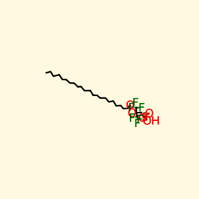 CCCCCCCCCCCCCCCCCCCCCC(=O)OC(CS(=O)(=O)O)(C(F)(F)F)C(F)(F)F